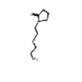 NCCSCCN1CCCC1=O